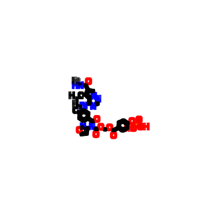 CCNC(=O)c1cn2ncnc(Nc3cc(C(=O)N(C(=O)OCOC(=O)c4ccc(OP(=O)(O)O)cc4)c4ccon4)ccc3C)c2c1C